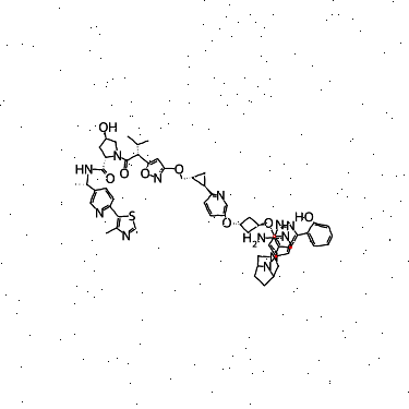 Cc1ncsc1-c1ccc([C@H](C)NC(=O)[C@@H]2C[C@@H](O)CN2C(=O)[C@@H](c2cc(OC[C@@H]3C[C@H]3c3ccc(O[C@H]4C[C@H](Oc5cc(N6C7CCC6CN(c6cc(-c8ccccc8O)nnc6N)C7)ccn5)C4)cn3)no2)C(C)C)cn1